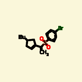 C=C(C1=CCC(C(C)CC)C1)S(=O)(=O)c1ccc(Br)cc1